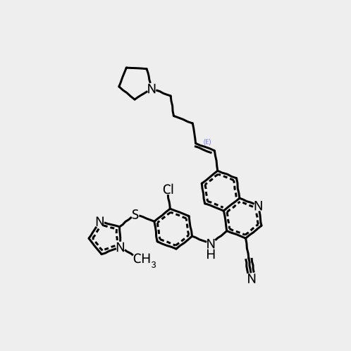 Cn1ccnc1Sc1ccc(Nc2c(C#N)cnc3cc(/C=C/CCCN4CCCC4)ccc23)cc1Cl